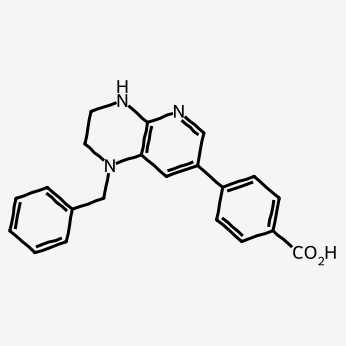 O=C(O)c1ccc(-c2cnc3c(c2)N(Cc2ccccc2)CCN3)cc1